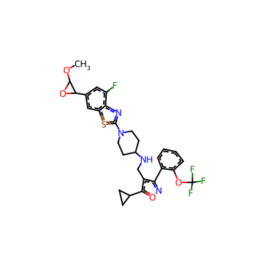 COC1OC1c1cc(F)c2nc(N3CCC(NCc4c(-c5ccccc5OC(F)(F)F)noc4C4CC4)CC3)sc2c1